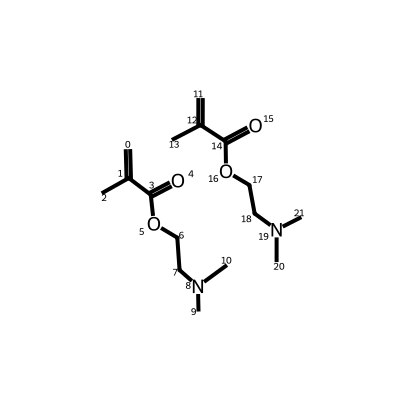 C=C(C)C(=O)OCCN(C)C.C=C(C)C(=O)OCCN(C)C